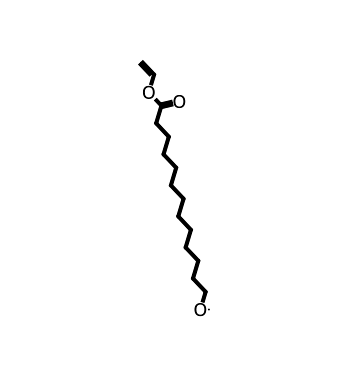 C=COC(=O)CCCCCCCCCCCC[O]